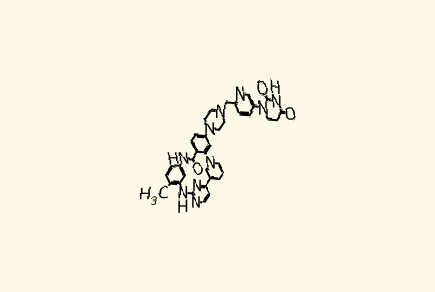 Cc1ccc(NC(=O)c2ccc(N3CCN(Cc4ccc(N5CCC(=O)NC5=O)cn4)CC3)cc2)cc1Nc1nccc(-c2cccnc2)n1